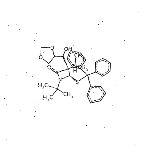 C[SiH](C)[C@@]1(C(O)C2COCO2)C(=O)N(C(C)(C)C)[C@@H]1SC(c1ccccc1)(c1ccccc1)c1ccccc1